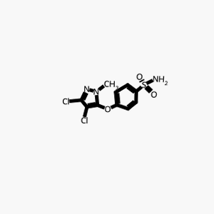 Cn1nc(Cl)c(Cl)c1Oc1ccc(S(N)(=O)=O)cc1